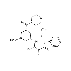 CC(C)C(N[C@H]1C[C@@H](C(=O)N2CCOCC2)CN(C(=O)O)C1)C(=O)c1nc2ccccc2n1CC1CC1